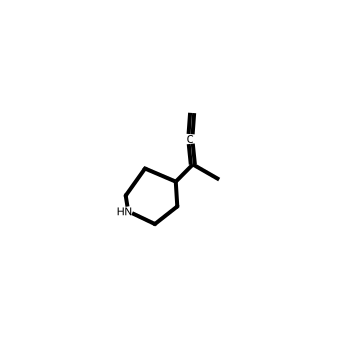 C=C=C(C)C1CCNCC1